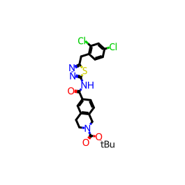 CC(C)(C)OC(=O)N1CCc2cc(C(=O)Nc3nnc(Cc4ccc(Cl)cc4Cl)s3)ccc2C1